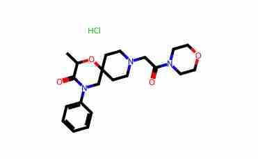 CC1OC2(CCN(CC(=O)N3CCOCC3)CC2)CN(c2ccccc2)C1=O.Cl